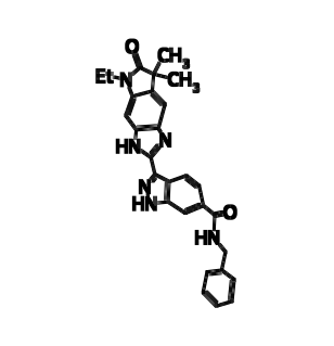 CCN1C(=O)C(C)(C)c2cc3nc(-c4n[nH]c5cc(C(=O)NCc6ccccc6)ccc45)[nH]c3cc21